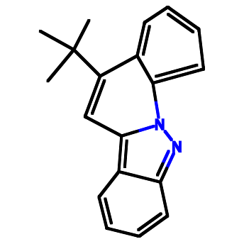 CC(C)(C)c1cc2c3ccccc3nn2c2ccccc12